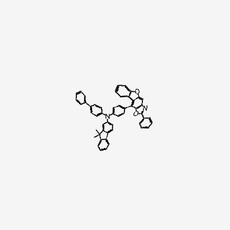 CC1(C)c2ccccc2-c2ccc(N(c3ccc(-c4ccccc4)cc3)c3ccc(-c4c5oc(-c6ccccc6)nc5cc5oc6ccccc6c45)cc3)cc21